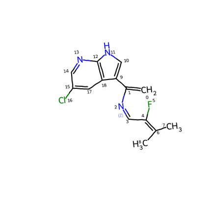 C=C(/N=C\C(F)=C(C)C)c1c[nH]c2ncc(Cl)cc12